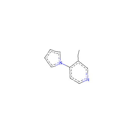 Cc1cnccc1-n1cccc1